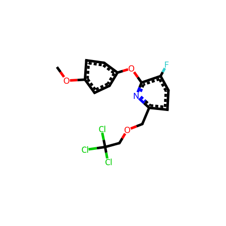 COc1ccc(Oc2nc(COCC(Cl)(Cl)Cl)ccc2F)cc1